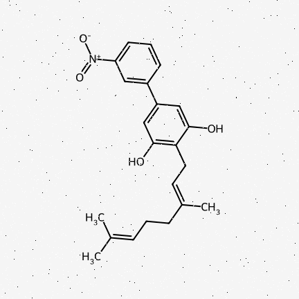 CC(C)=CCC/C(C)=C/Cc1c(O)cc(-c2cccc([N+](=O)[O-])c2)cc1O